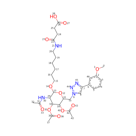 COc1cccc(-c2cn(CC3OC(OCCCCCCNC(=O)CCC(=O)O)C(NC(C)=O)C(OC(C)=O)C3OC(C)=O)nn2)c1